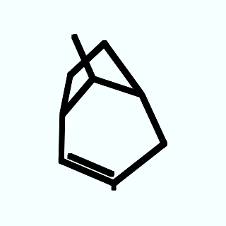 CC1C2C=[C]CC1CC2